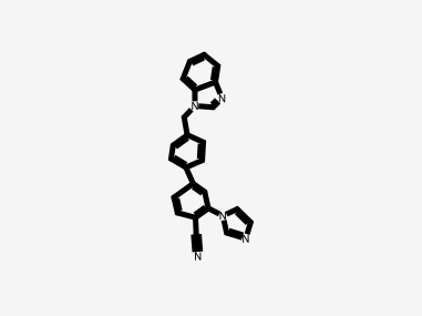 N#Cc1ccc(-c2ccc(Cn3cnc4ccccc43)cc2)cc1-n1ccnc1